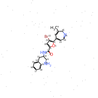 CC1=CC(c2oc(C(=O)NC(CN)Cc3ccccc3)cc2Br)=CC=NC1